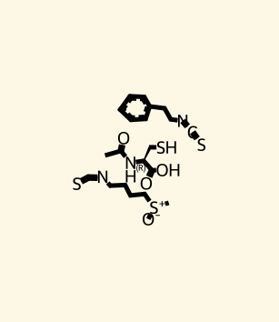 CC(=O)N[C@@H](CS)C(=O)O.C[S+]([O-])CCCCN=C=S.S=C=NCCc1ccccc1